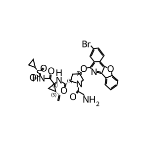 C=C[C@@H]1C[C@]1(NC(=O)[C@@H]1C[C@@H](Oc2nc3c4ccccc4oc3c3ccc(Br)cc23)CN1C(=O)CN)C(=O)NS(=O)(=O)C1CC1